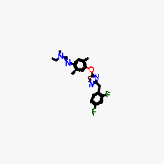 CCN(C)C=Nc1cc(C)c(Oc2nc(Cc3ccc(F)cc3F)ns2)cc1C